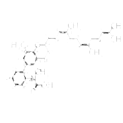 CC(C)=CCCC(C)=CCCC(C)=CCCC1CCc2cc(-c3ccccc3N(C)C(=O)O)cc(C)c2O1